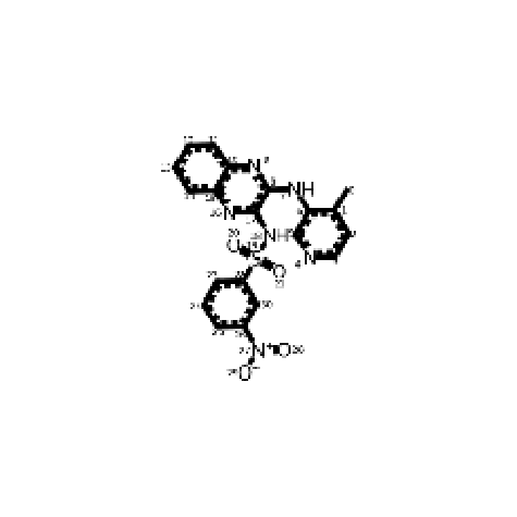 Cc1ccncc1Nc1nc2ccccc2nc1NS(=O)(=O)c1cccc([N+](=O)[O-])c1